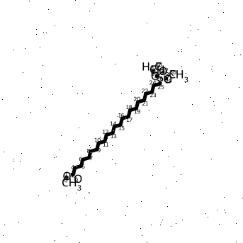 COC(=O)CCCCCCCCCCCCCCCCCCCCCC[Si](OC)(OC)OC